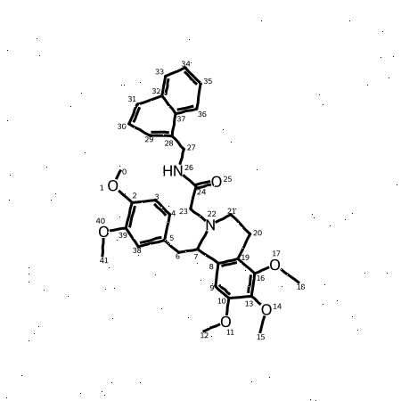 COc1ccc(CC2c3cc(OC)c(OC)c(OC)c3CCN2CC(=O)NCc2cccc3ccccc23)cc1OC